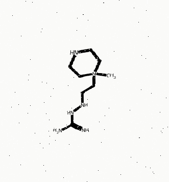 C[N+]1(CCNNC(=N)N)CCNCC1